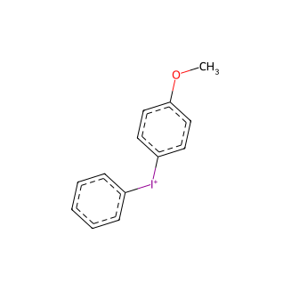 COc1ccc([I+]c2ccccc2)cc1